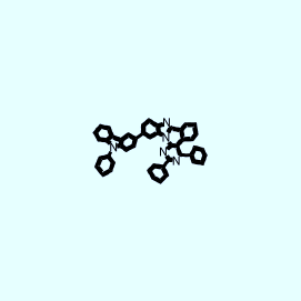 c1ccc(-c2nc(-c3ccccc3)c3c4ccccc4c4nc5ccc(-c6ccc7c(c6)c6ccccc6n7-c6ccccc6)cc5n4c3n2)cc1